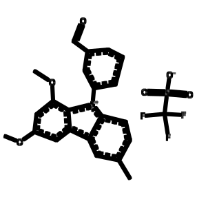 COc1cc(OC)c2c(c1)c1cc(C)ccc1[s+]2-c1cccc(C=O)c1.O=S(=O)([O-])C(F)(F)F